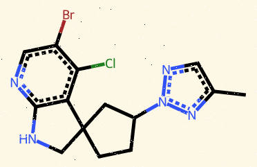 Cc1cnn(C2CCC3(CNc4ncc(Br)c(Cl)c43)C2)n1